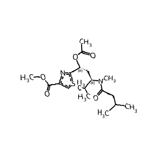 COC(=O)c1csc([C@@H](C[C@H](C(C)C)N(C)C(=O)CC(C)C)OC(C)=O)n1